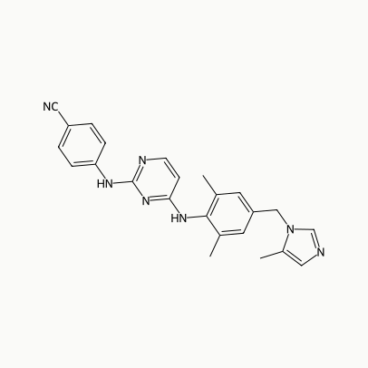 Cc1cc(Cn2cncc2C)cc(C)c1Nc1ccnc(Nc2ccc(C#N)cc2)n1